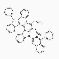 C=Cc1c(C=C)c2c(c3ccccc3n2-c2nc(-c3ccccc3)c3ncccc3n2)c2c1c1ccccc1c1c2c2ccccc2n1-c1ccccc1